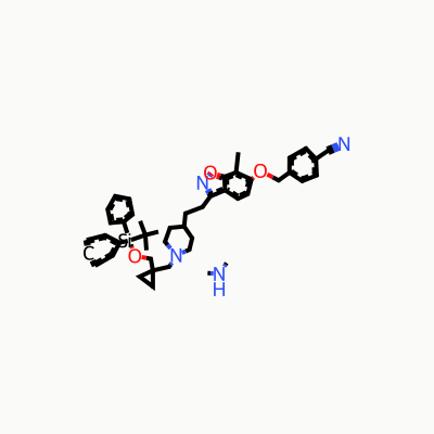 CNC.Cc1c(OCc2ccc(C#N)cc2)ccc2c(CCC3CCN(CC4(CO[Si](c5ccccc5)(c5ccccc5)C(C)(C)C)CC4)CC3)noc12